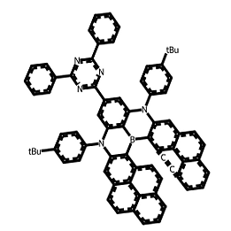 CC(C)(C)c1ccc(N2c3cc(-c4nc(-c5ccccc5)nc(-c5ccccc5)n4)cc4c3B(c3c2cc2ccc5cccc6ccc3c2c56)c2c(cc3ccc5cccc6ccc2c3c56)N4c2ccc(C(C)(C)C)cc2)cc1